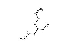 C=CCOC(CO)COC(=O)O